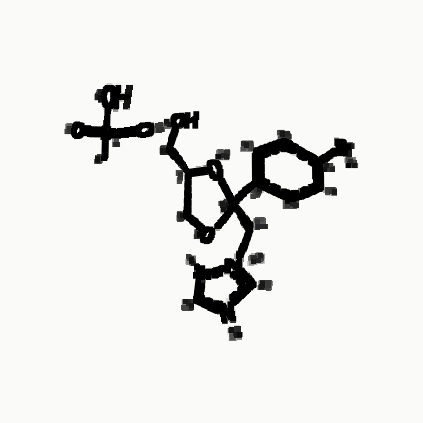 CS(=O)(=O)O.OC[C@@H]1CO[C@@](Cn2cncn2)(c2ccc(Br)cc2)O1